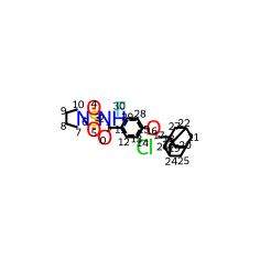 O=C(NS(=O)(=O)N1CCCC1)c1cc(Cl)c(OCC23CC4CC(CC(C4)C2)C3)cc1F